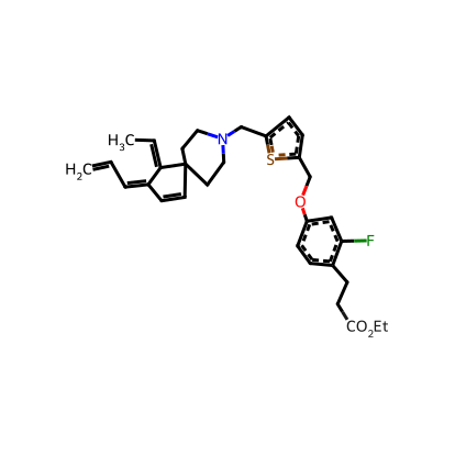 C=CC=C1C=CC2(CCN(Cc3ccc(COc4ccc(CCC(=O)OCC)c(F)c4)s3)CC2)C1=CC